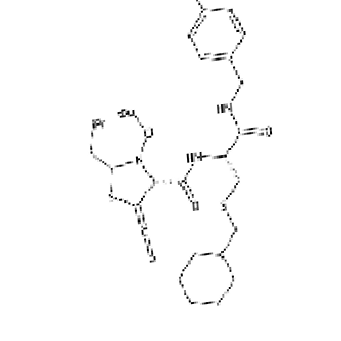 COc1ccc(CNC(=O)[C@H](CSCC2CCCCC2)NC(=O)[C@@H]2C(=C=O)SC(CC(C)C)N2OC(C)(C)C)cc1